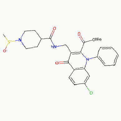 COC(=O)c1c(CNC(=O)C2CCN([S+](C)[O-])CC2)c(=O)c2ccc(Cl)cc2n1-c1ccccc1